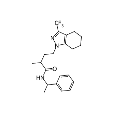 CC(CCn1nc(C(F)(F)F)c2c1CCCC2)C(=O)NC(C)c1ccccc1